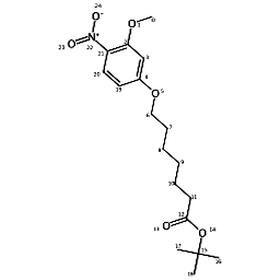 COc1cc(OCCCCCCC(=O)OC(C)(C)C)ccc1[N+](=O)[O-]